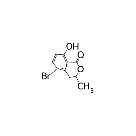 CC1Cc2c(Br)ccc(O)c2C(=O)O1